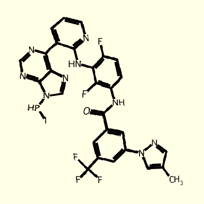 Cc1cnn(-c2cc(C(=O)Nc3ccc(F)c(Nc4ncccc4-c4ncnc5c4ncn5PI)c3F)cc(C(F)(F)F)c2)c1